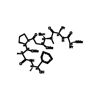 CC[C@@H](C)[C@H]([C@H](CC(=O)N1CCC[C@@H]1[C@@H](OC)[C@H](C)C(=O)N[C@@H](C)[C@H](O)c1ccccc1)OC)N(C)C(=O)[C@H](NC(=O)[C@H](NC)C(C)C)C(C)C